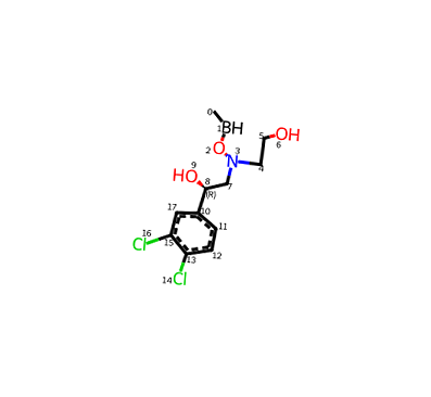 CBON(CCO)C[C@H](O)c1ccc(Cl)c(Cl)c1